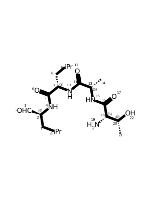 CC(C)C[C@@H]([C]=O)NC(=O)[C@H](CC(C)C)NC(=O)[C@H](C)NC(=O)[C@@H](N)[C@@H](C)O